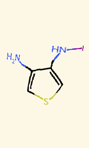 Nc1cscc1NI